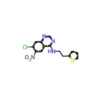 O=[N+]([O-])c1cc2c(NCCc3cccs3)ncnc2cc1Cl